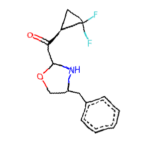 O=C(C1NC(c2ccccc2)CO1)[C@H]1CC1(F)F